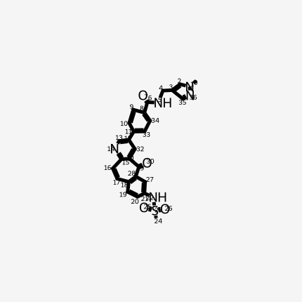 Cn1cc(CNC(=O)c2ccc(-c3cnc4ccc5ccc(NS(C)(=O)=O)cc5c(=O)c4c3)cc2)cn1